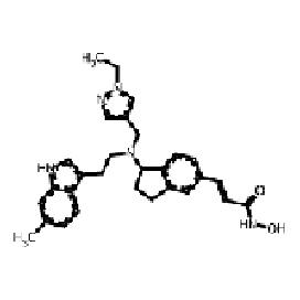 CCn1cc(CN(CCc2c[nH]c3cc(C)ccc23)C2CCc3cc(C=CC(=O)NO)ccc32)cn1